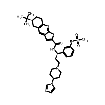 CC(C)(C)[C@H]1CCc2nc3sc(C(=O)N[C@H](CCN4CCC(n5ccnc5)CC4)c4cccc(NS(C)(=O)=O)c4)cc3cc2C1